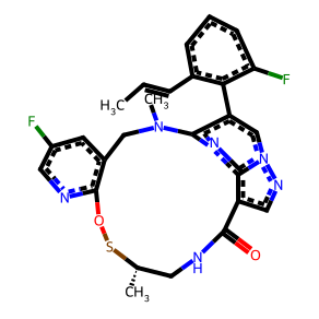 C/C=C/c1cccc(F)c1-c1cn2ncc3c2nc1N(C)Cc1cc(F)cnc1OS[C@@H](C)CNC3=O